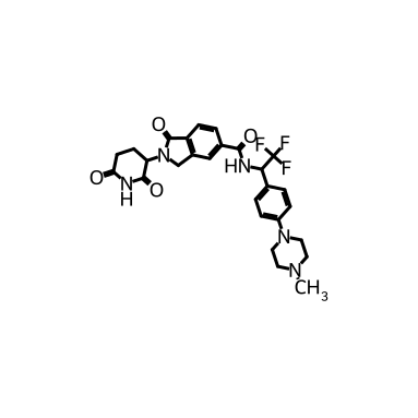 CN1CCN(c2ccc(C(NC(=O)c3ccc4c(c3)CN(C3CCC(=O)NC3=O)C4=O)C(F)(F)F)cc2)CC1